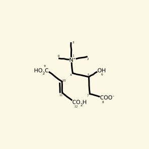 C[N+](C)(C)CC(O)CC(=O)[O-].O=C(O)/C=C/C(=O)O